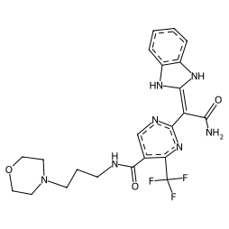 NC(=O)C(=C1Nc2ccccc2N1)c1ncc(C(=O)NCCCN2CCOCC2)c(C(F)(F)F)n1